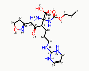 CCCOC(=O)NC(N)(C(=O)O)C(CCCNC1NC=CCN1)C(=O)CC1=NOCC1